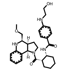 COC[C@@H]1Nc2ccccc2[C@H]2[C@@H]1CCN2C(=O)[C@H]1CCCC[C@H]1NC(=O)c1ccc(NCCO)cc1